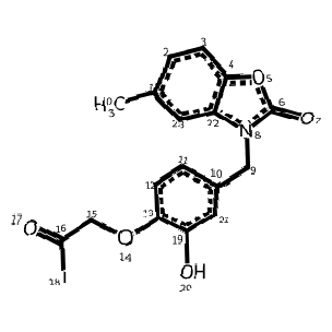 Cc1ccc2oc(=O)n(Cc3ccc(OCC(=O)I)c(O)c3)c2c1